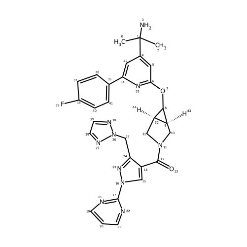 CC(C)(N)c1cc(OC2[C@H]3CN(C(=O)c4cn(-c5ncccn5)nc4Cn4nccn4)C[C@@H]23)nc(-c2ccc(F)cc2)c1